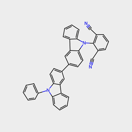 N#Cc1cccc(C#N)c1-n1c2ccccc2c2cc(-c3ccc4c(c3)c3ccccc3n4-c3ccccc3)ccc21